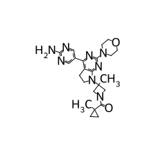 CC1(C(=O)N2CC(C)(N3CCc4c(-c5cnc(N)nc5)nc(N5CCOCC5)nc43)C2)CC1